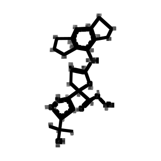 CCCCOC(=O)C1(c2cc(C(C)(C)O)on2)CN=C(Nc2c3c(cc4c2CCC4)CCC3)O1